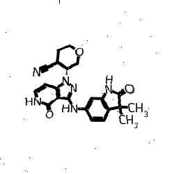 CC1(C)C(=O)Nc2cc(Nc3nn([C@H]4COCCC4C#N)c4cc[nH]c(=O)c34)ccc21